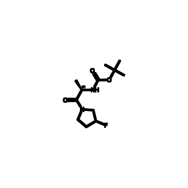 C[C@@H](NC(=O)OC(C)(C)C)C(=O)N1CCC(F)C1